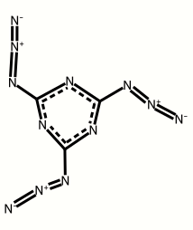 [N-]=[N+]=Nc1nc(N=[N+]=[N-])nc(N=[N+]=[N-])n1